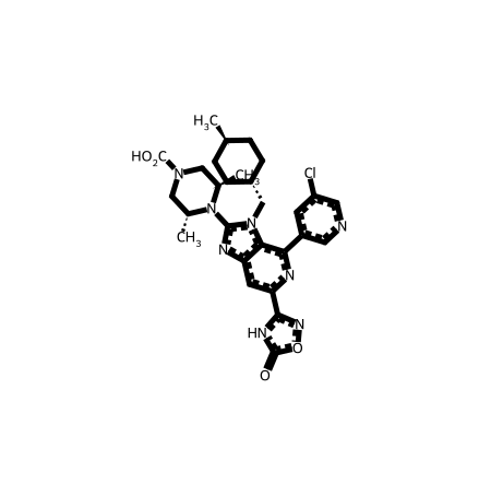 C[C@@H]1CN(C(=O)O)C[C@@H](C)N1c1nc2cc(-c3noc(=O)[nH]3)nc(-c3cncc(Cl)c3)c2n1C[C@H]1CC[C@H](C)CC1